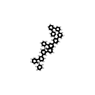 c1ccc(-c2ccccc2-c2cccc(-c3cccc(-c4ccc(-c5cccc(-c6ccccc6-n6c7ccccc7c7cc(-c8ccc9c(c8)c8ccccc8n9-c8ccccc8)ccc76)c5)cc4)c3)c2)cc1